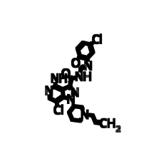 C=CCN1CCC[C@@H](n2nc(C(=O)Nc3nc4cc(Cl)ccc4o3)c3c(N)ncc(Cl)c32)C1